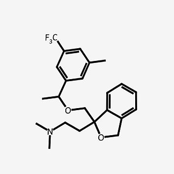 Cc1cc(C(C)OCC2(CCN(C)C)OCc3ccccc32)cc(C(F)(F)F)c1